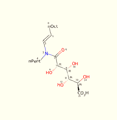 CCCCCCCCC=CN(CCCCC)C(=O)[C@@H](O)[C@H](O)[C@@H](O)[C@@H](O)C(=O)O